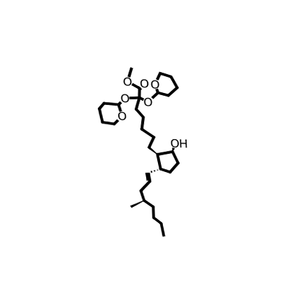 CCCC[C@@H](C)CC=C[C@H]1CC[C@H](O)[C@@H]1CCCCCC(OC1CCCCO1)(OC1CCCCO1)C(=O)OC